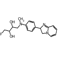 CN(CC(O)C(O)CF)c1ccc(C2CN3C=CC=CC3=N2)cc1